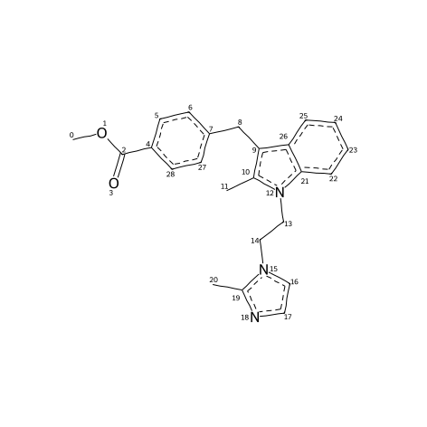 COC(=O)c1ccc(Cc2c(C)n(CCn3ccnc3C)c3ccccc23)cc1